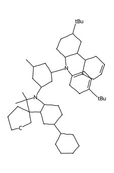 CC1CC(N(C2=CC=C(C(C)(C)C)CC2)C2CCC(C(C)(C)C)CC2C2CC=CCC2)CC(N2C3CCC(C4CCCCC4)CC3C3(CCCCC3)C2(C)C)C1